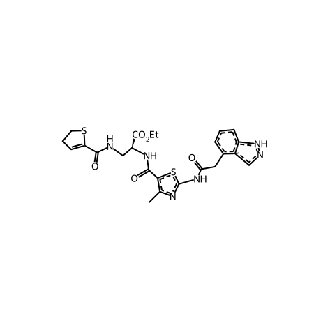 CCOC(=O)[C@H](CNC(=O)C1=CCCS1)NC(=O)c1sc(NC(=O)Cc2cccc3[nH]ncc23)nc1C